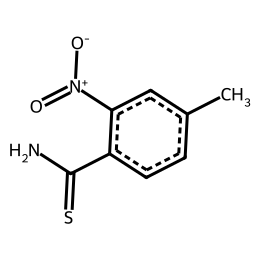 Cc1ccc(C(N)=S)c([N+](=O)[O-])c1